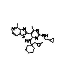 COCC1(Nc2nc(NCC3CC3)nc(C)c2-c2nc3c(C)nccc3s2)CCCCC1